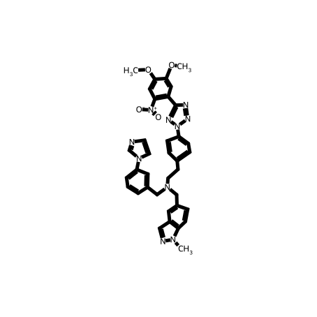 COc1cc(-c2nnn(-c3ccc(CCN(Cc4cccc(-n5ccnc5)c4)Cc4ccc5c(cnn5C)c4)cc3)n2)c([N+](=O)[O-])cc1OC